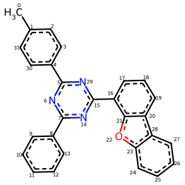 Cc1ccc(-c2nc(-c3ccccc3)nc(-c3cccc4c3oc3ccccc34)n2)cc1